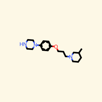 CC1CCCN(CCCOc2ccc(N3CCNCC3)cc2)C1